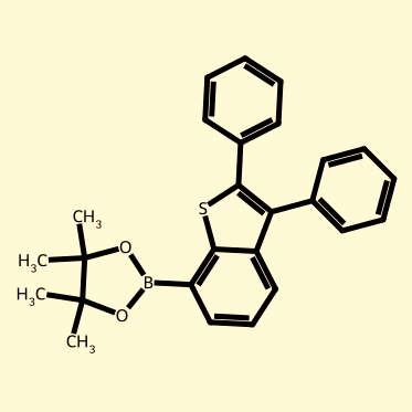 CC1(C)OB(c2cccc3c(-c4ccccc4)c(-c4ccccc4)sc23)OC1(C)C